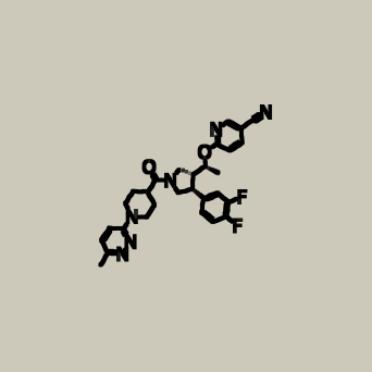 Cc1ccc(N2CCC(C(=O)N3C[C@H]([C@H](C)Oc4ccc(C#N)cn4)[C@@H](c4ccc(F)c(F)c4)C3)CC2)nn1